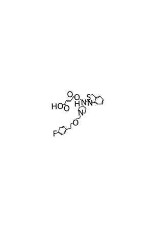 CN(C1=Nc2ccccc2CS1)C1CCN(CCOCCc2ccc(F)cc2)CC1.O=C(O)/C=C/C(=O)O